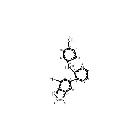 Fc1cc(-c2nccnc2Nc2ccc(C(F)(F)F)cc2)cc2nn[nH]c12